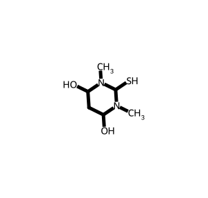 CN1C(O)CC(O)N(C)C1S